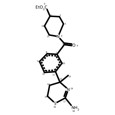 CCOC(=O)C1CCN(C(=O)c2cccc(C3(C)CCSC(N)=N3)c2)CC1